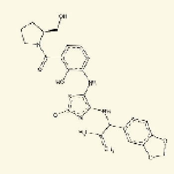 C=C(C)C(Nc1n[s+]([O-])nc1Nc1cccc(C(=O)N2CCC[C@H]2CO)c1O)c1ccc2c(c1)OCO2